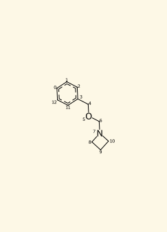 c1ccc(COCN2CCC2)cc1